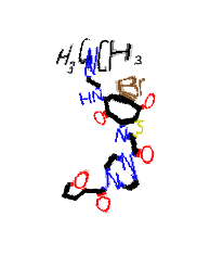 CN(C)CCNC1=C(Br)C(=O)c2sc(C(=O)N3CCN(C(=O)C4CCCO4)CC3)nc2C1=O